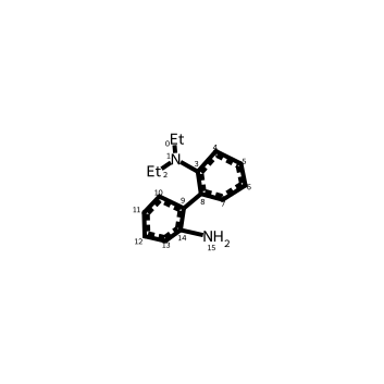 CCN(CC)c1ccccc1-c1ccccc1N